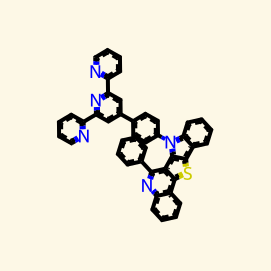 c1ccc(-c2nc3ccccc3c3sc4c5ccccc5n(-c5ccc(-c6cc(-c7ccccn7)nc(-c7ccccn7)c6)cc5)c4c23)cc1